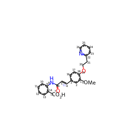 COc1cc(/C=C/C(=O)Nc2ccccc2C(=O)O)ccc1OCCc1ccccn1